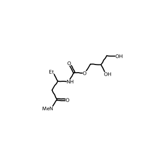 CCC(CC(=O)NC)NC(=O)OCC(O)CO